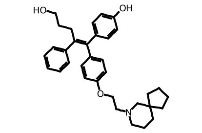 OCCC/C(=C(\c1ccc(O)cc1)c1ccc(OCCN2CCCC3(CCCC3)C2)cc1)c1ccccc1